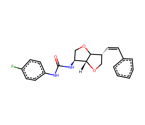 O=C(Nc1ccc(F)cc1)N[C@H]1COC2[C@H](/C=C\c3ccccc3)CO[C@@H]21